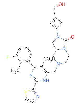 Cc1c(F)cccc1C1N=C(c2nccs2)NC(CN2CCN3C(=O)N(C45CC(CO)(C4)C5)CC3C2)=C1C(=O)O